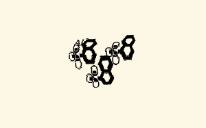 O=S(=O)([O-])c1cccc2ccccc12.O=S(=O)([O-])c1cccc2ccccc12.O=S(=O)([O-])c1cccc2ccccc12.[Al+3]